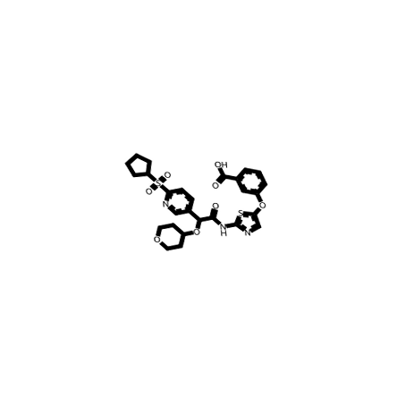 O=C(O)c1cccc(Oc2cnc(NC(=O)C(OC3CCOCC3)c3ccc(S(=O)(=O)C4CCCC4)nc3)s2)c1